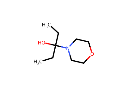 CCC(O)(CC)N1CCOCC1